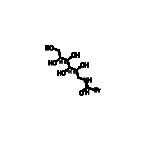 CC(C)[PH](=O)NC[C@H](O)[C@@H](O)[C@H](O)[C@H](O)CO